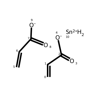 C=CC(=O)[O-].C=CC(=O)[O-].[SnH2+2]